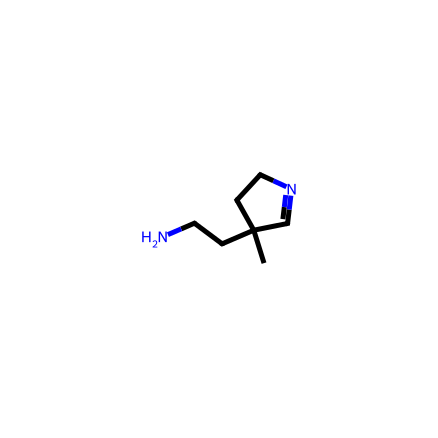 CC1(CCN)C=NCC1